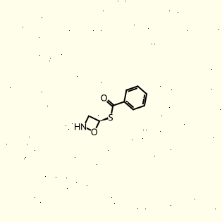 O=C(S[C@@H]1CNO1)c1ccccc1